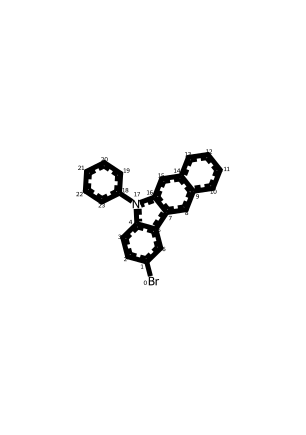 Brc1ccc2c(c1)c1cc3ccccc3cc1n2-c1ccccc1